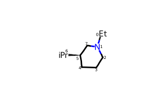 CCN1CCC[C@@H](C(C)C)C1